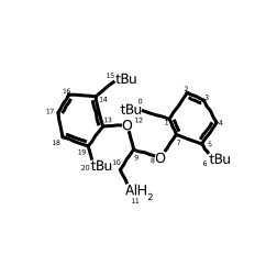 CC(C)(C)c1cccc(C(C)(C)C)c1OC([CH2][AlH2])Oc1c(C(C)(C)C)cccc1C(C)(C)C